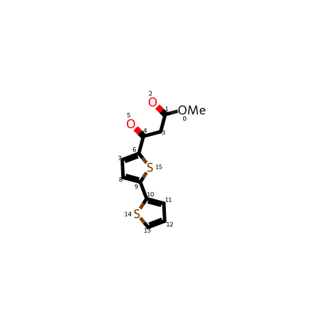 COC(=O)CC(=O)c1ccc(-c2cccs2)s1